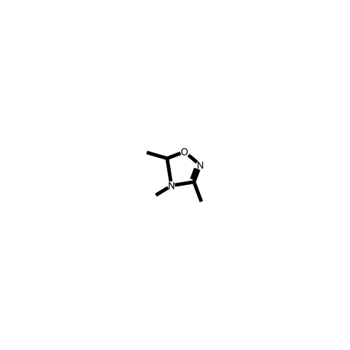 CC1=NOC(C)N1C